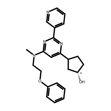 CN(CCOc1ccccc1)c1cc(C2CC[C@H](O)C2)nc(-c2cccnc2)n1